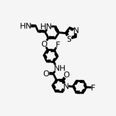 N=C/C=C1\NC=C(c2cncs2)C=C1Oc1ccc(NC(=O)c2cccn(-c3ccc(F)cc3)c2=O)cc1F